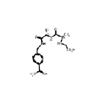 CC[C@H](NC(=O)[C@@H](C)NCC(=O)O)C(=O)NCc1ccc(C(=N)N)cc1